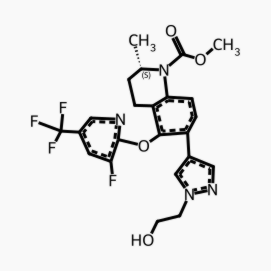 COC(=O)N1c2ccc(-c3cnn(CCO)c3)c(Oc3ncc(C(F)(F)F)cc3F)c2CC[C@@H]1C